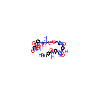 Cc1c(NC(=O)c2ccc(C(C)(C)C)cc2)cccc1-c1cn(C)c(=O)c(Nc2ccc(C(=O)N3CCN(CCOCCOCCNC(=O)CNc4cccc5c4C(=O)N(C4CCC(=O)NC4=O)C5=O)CC3)cc2)n1